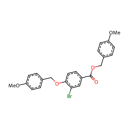 COc1ccc(COC(=O)c2ccc(OCc3ccc(OC)cc3)c(Br)c2)cc1